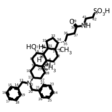 C[C@]12CC[C@H]3[C@@H]([C@@H](O)CC4C[C@H](N(Cc5ccccc5)Cc5ccccc5)CC[C@@]43C)[C@@H]1CC[C@@H]2CCCC(=O)NCCS(=O)(=O)O